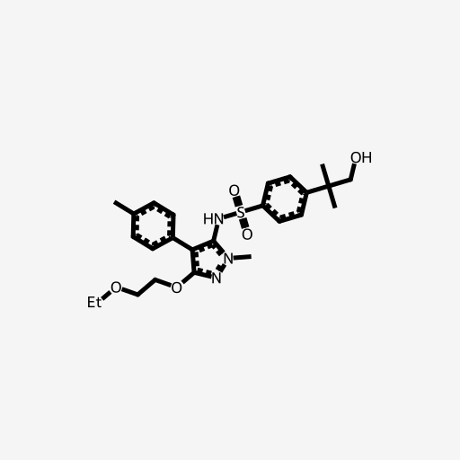 CCOCCOc1nn(C)c(NS(=O)(=O)c2ccc(C(C)(C)CO)cc2)c1-c1ccc(C)cc1